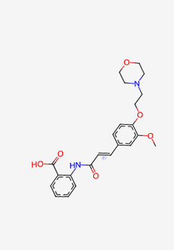 COc1cc(/C=C/C(=O)Nc2ccccc2C(=O)O)ccc1OCCN1CCOCC1